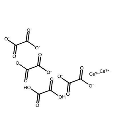 O=C(O)C(=O)O.O=C([O-])C(=O)[O-].O=C([O-])C(=O)[O-].O=C([O-])C(=O)[O-].[Ce+3].[Ce+3]